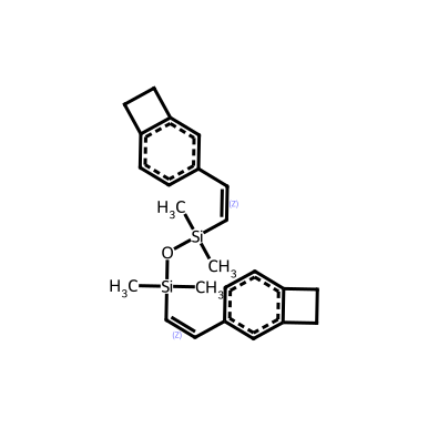 C[Si](C)(/C=C\c1ccc2c(c1)CC2)O[Si](C)(C)/C=C\c1ccc2c(c1)CC2